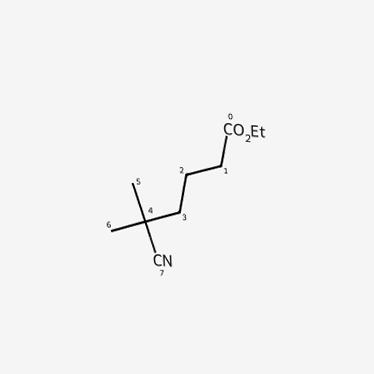 CCOC(=O)CCCC(C)(C)C#N